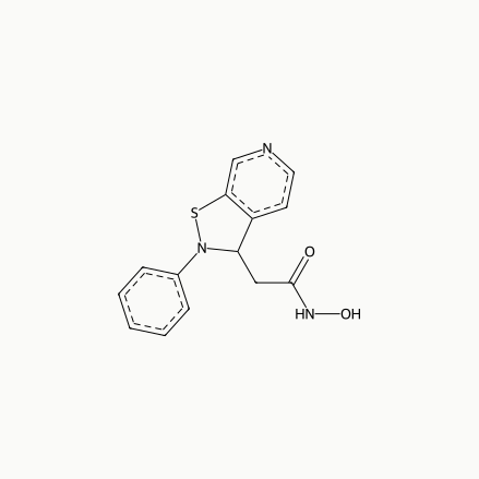 O=C(CC1c2ccncc2SN1c1ccccc1)NO